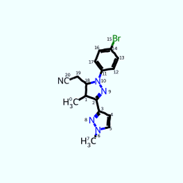 CC1C(c2ccn(C)n2)=NN(c2ccc(Br)cc2)C1CC#N